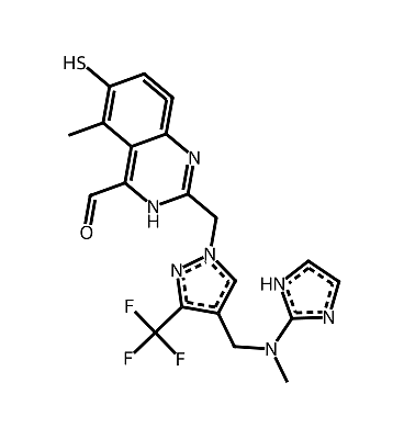 CC1=C(S)C=C=C2N=C(Cn3cc(CN(C)c4ncc[nH]4)c(C(F)(F)F)n3)NC(C=O)=C21